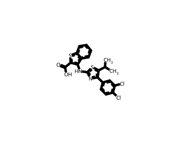 CC(C)c1sc(Nc2c(C(=O)O)sc3ccccc23)nc1-c1ccc(Cl)c(Cl)c1